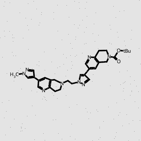 Cn1cc(-c2cnc3c(c2)CN(CCn2cc(-c4cnc5c(c4)CN(C(=O)OC(C)(C)C)CC5)cn2)CC3)cn1